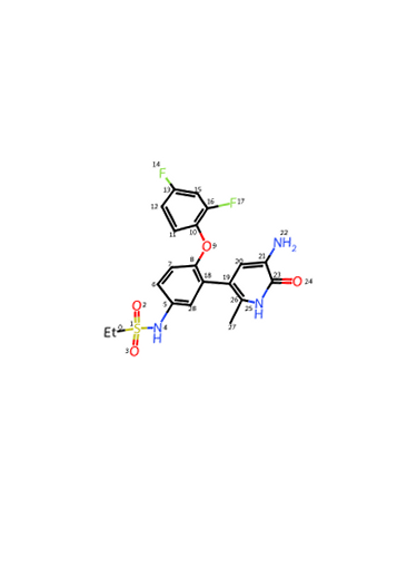 CCS(=O)(=O)Nc1ccc(Oc2ccc(F)cc2F)c(-c2cc(N)c(=O)[nH]c2C)c1